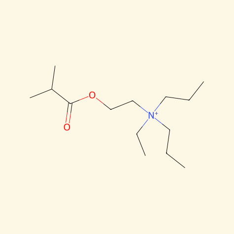 CCC[N+](CC)(CCC)CCOC(=O)C(C)C